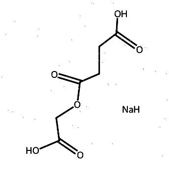 O=C(O)CCC(=O)OCC(=O)O.[NaH]